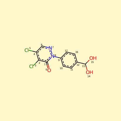 O=c1c(Cl)c(Cl)cnn1-c1ccc(C(O)O)cc1